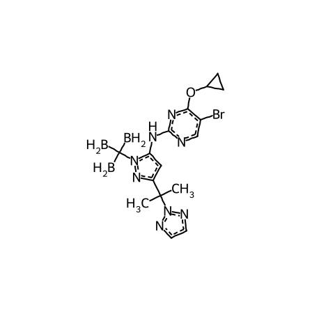 BC(B)(B)n1nc(C(C)(C)n2nccn2)cc1Nc1ncc(Br)c(OC2CC2)n1